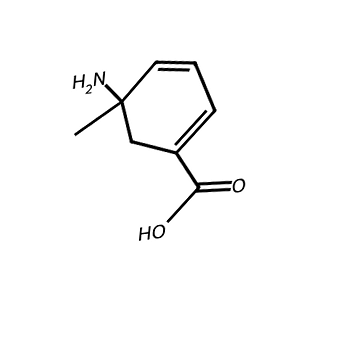 CC1(N)C=CC=C(C(=O)O)C1